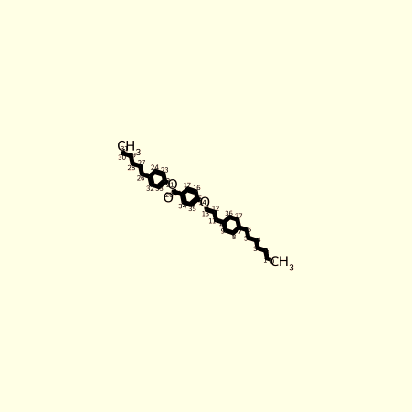 CCCCCCCC1CCC(CCCOc2ccc(C(=O)Oc3ccc(CCCCCC)cc3)cc2)CC1